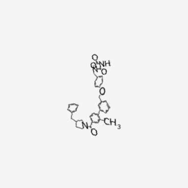 Cc1cc(C(=O)N2CCC(Cc3ccccc3)C2)ccc1-c1cccc(COc2ccc(Cn3oc(=O)[nH]c3=O)cc2)c1